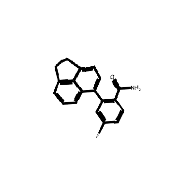 NC(=O)c1ccc(F)cc1-c1ccc2c3c(cccc13)CC2